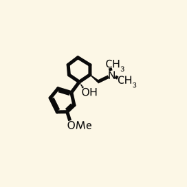 COc1cccc([C@@]2(O)CCCC[C@H]2CN(C)C)c1